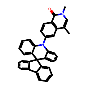 Cc1cn(C)c(=O)c2ccc(N3c4ccccc4C4(c5ccccc5-c5ccccc54)c4ccccc43)cc12